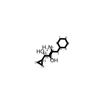 NC(CC1CCCCC1)=C(O)[C@@H](O)C1CC1